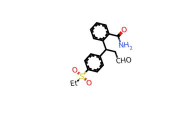 CCS(=O)(=O)c1ccc(C(CC=O)c2ccccc2C(N)=O)cc1